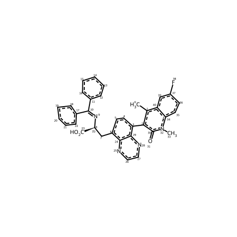 Cc1c(-c2ccc(C[C@H](N=C(c3ccccc3)c3ccccc3)C(=O)O)c3nccnc23)c(=O)n(C)c2ccc(F)cc12